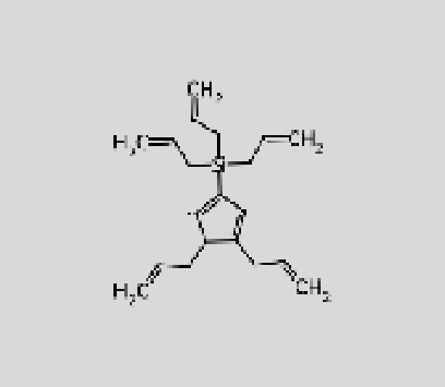 C=CCC1=CC([Si](CC=C)(CC=C)CC=C)=[C]C1CC=C